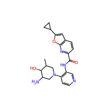 CC1CN(c2ccncc2NC(=O)c2ccc3cc(C4CC4)oc3n2)CC(N)C1O